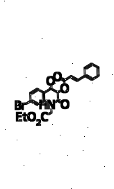 CCOC(=O)CNC(=O)C(OC(=O)C=Cc1ccccc1)C(=O)c1ccc(Br)cc1